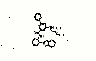 O=C(Nc1ccccc1-c1nc2cccnc2s1)c1cc(NC[C@H](O)CO)nc(-c2ccccc2)n1